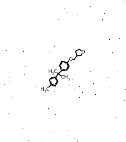 Cc1ccc(C(C)(C)c2ccc(OCC3CCOC3)cc2)cc1